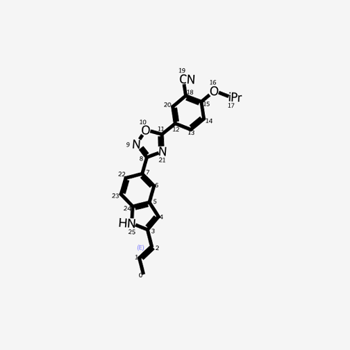 C/C=C/c1cc2cc(-c3noc(-c4ccc(OC(C)C)c(C#N)c4)n3)ccc2[nH]1